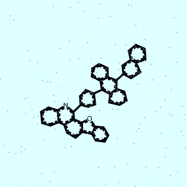 c1ccc2cc(-c3c4ccccc4c(-c4ccc(-c5nc6ccccc6c6ccc7c8ccccc8oc7c56)cc4)c4ccccc34)ccc2c1